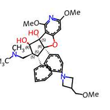 COCC1CN(c2ccc([C@@]34Oc5cc(OC)nc(OC)c5[C@]3(O)[C@H](O)[C@H](CN(C)C)[C@H]4c3ccccc3)cc2)C1